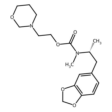 C[C@H](Cc1ccc2c(c1)OCO2)N(C)C(=O)OCCN1CCCOC1